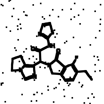 CCc1ccc2c(c1F)C(=O)N(C(C(=O)Nc1nccs1)c1ncn3c1CCC3)C2